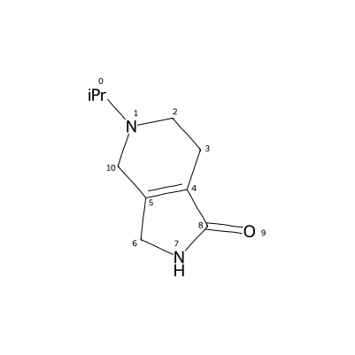 CC(C)N1CCC2=C(CNC2=O)C1